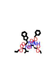 C=CCOC(=O)[C@@H](NC(=O)[C@@H](NC(=O)[C@H](CC(=O)OCC)NC(=O)OCc1ccccc1)C1Cc2ccccc2C1)C(C)C